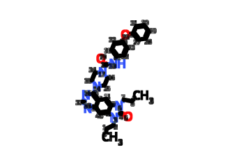 CCCn1c(=O)n(CCC)c2cc3c(N4CCN(C(=O)Nc5ccc(Oc6ccccc6)cc5)CC4)ncnc3cc21